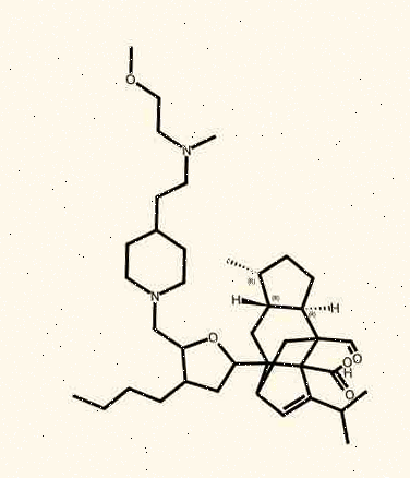 CCCCC1CC(C23C[C@@H]4[C@H](C)CC[C@H]4C4(C=O)CC2C=C(C(C)C)C34C(=O)O)OC1CN1CCC(CCN(C)CCOC)CC1